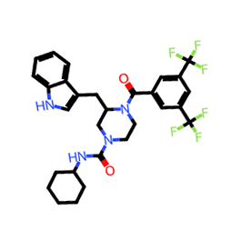 O=C(NC1CCCCC1)N1CCN(C(=O)c2cc(C(F)(F)F)cc(C(F)(F)F)c2)C(Cc2c[nH]c3ccccc23)C1